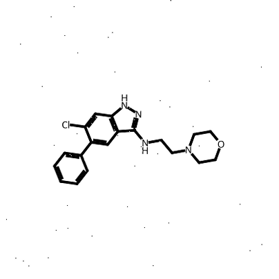 Clc1cc2[nH]nc(NCCN3CCOCC3)c2cc1-c1ccccc1